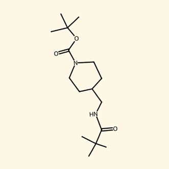 CC(C)(C)OC(=O)N1CCC(CNC(=O)C(C)(C)C)CC1